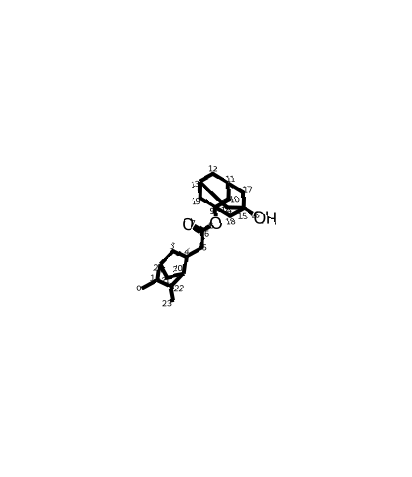 CC1C2CC(CC(=O)OC34CC5CC(CC(O)(C5)C3)C4)C(C2)C1C